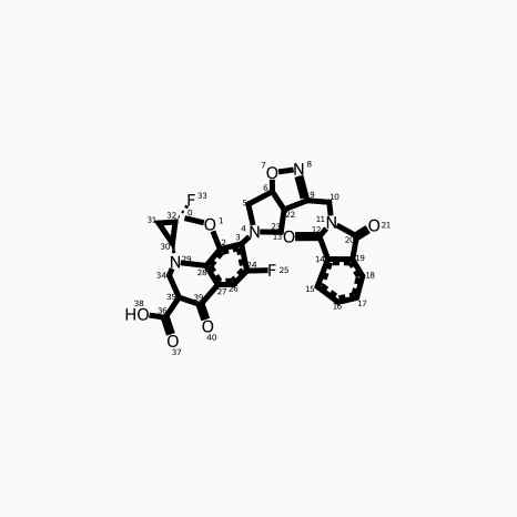 COc1c(N2CC3ON=C(CN4C(=O)c5ccccc5C4=O)C3C2)c(F)cc2c1N([C@@H]1C[C@@H]1F)CC(C(=O)O)C2=O